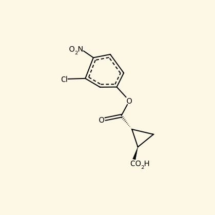 O=C(O)[C@@H]1C[C@H]1C(=O)Oc1ccc([N+](=O)[O-])c(Cl)c1